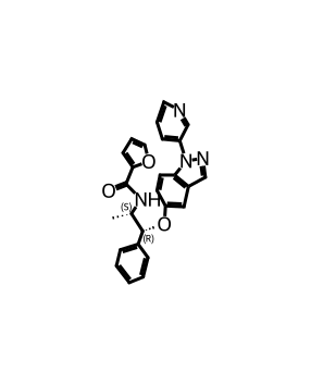 C[C@H](NC(=O)c1ccco1)[C@H](Oc1ccc2c(cnn2-c2cccnc2)c1)c1ccccc1